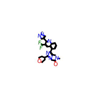 CN1Cc2c(-c3cccc4nc(-c5cnn(C)c5)c(C(F)F)cc34)nc(C3CCOCC3)n2CC1=O